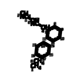 C.C.C.N#CO.N#CO.c1ccccc1.c1ccccc1